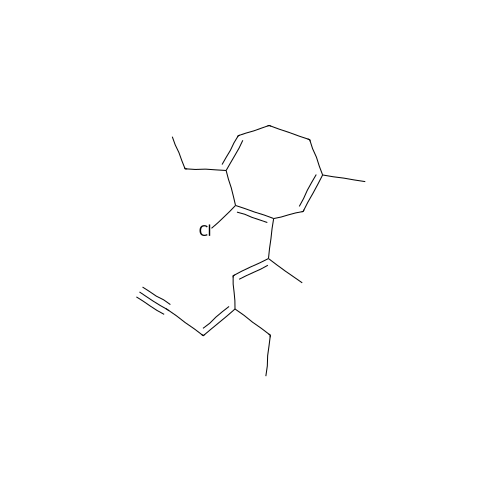 C#C\C=C(/C=C(C)/C1=C(\Cl)C(CC)=CCC/C(C)=C\1)CC